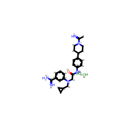 CC(=N)N1CCC(c2ccc(NC(=O)CN(CC3CC3)c3cccc(C(=N)N)c3)cc2)CC1.Cl.Cl